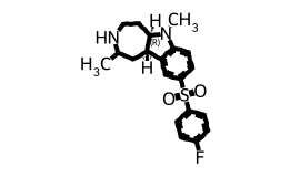 CC1C[C@H]2c3cc(S(=O)(=O)c4ccc(F)cc4)ccc3N(C)[C@@H]2CCN1